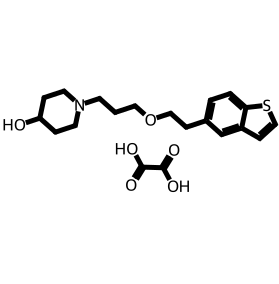 O=C(O)C(=O)O.OC1CCN(CCCOCCc2ccc3sccc3c2)CC1